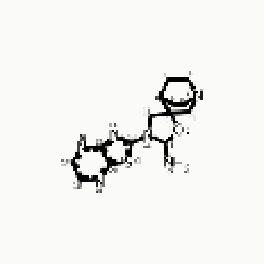 NC1OC2(CN3CCC2CC3)CN1c1nc2nccnc2s1